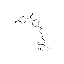 O=C(c1ccc(Br)cc1)c1ccc(OC/C=C/CN(C(=O)C(F)(F)F)C2CC2)cc1